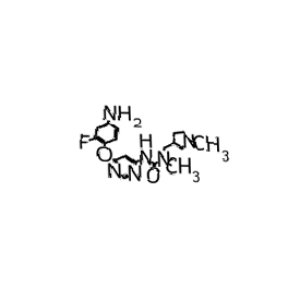 CN1CCC(CN(C)C(=O)Nc2cc(Oc3ccc(N)cc3F)ncn2)C1